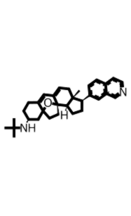 CC(C)(C)N[C@@H]1CCC2=CC3=CC[C@]4(C)[C@@H](c5ccc6ccncc6c5)CC[C@H]4[C@@]34CCC2(C1)O4